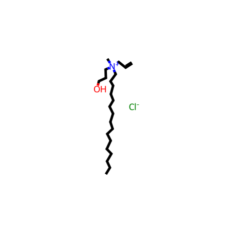 C=CC[N+](C)(CCCO)CCCCCCCCCCCCCCCC.[Cl-]